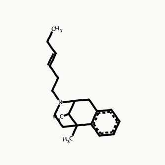 CCC=CCCN1CCC2(C)c3ccccc3CC1C2C